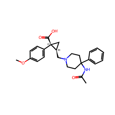 COc1ccc([C@]2(C(=O)O)C[C@H]2CN2CCC(NC(C)=O)(c3ccccc3)CC2)cc1